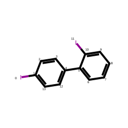 Ic1ccc(-c2ccccc2I)cc1